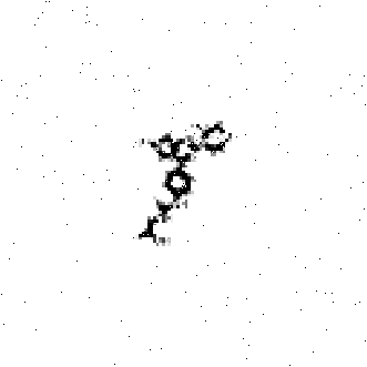 CC(O)CNC(=O)Nc1ccc(-c2nc(N3CCOC[C@@H]3C)nc3c2CN(C(C)C)C3)cc1